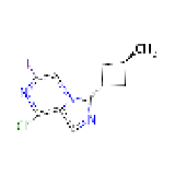 [CH2][C@H]1C[C@H](c2ncc3c(Cl)nc(I)cn32)C1